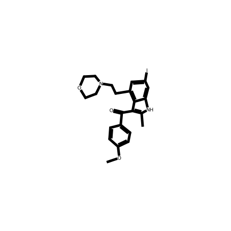 COc1ccc(C(=O)c2c(C)[nH]c3cc(I)cc(CCN4CCOCC4)c23)cc1